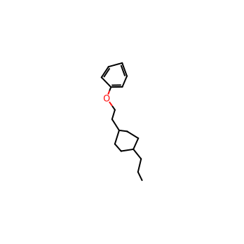 CCCC1CCC(CCOc2ccccc2)CC1